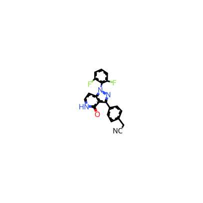 N#CCc1ccc(-c2nn(-c3c(F)cccc3F)c3cc[nH]c(=O)c23)cc1